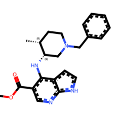 COC(=O)c1cnc2[nH]ccc2c1N[C@H]1CN(Cc2ccccc2)CC[C@H]1C